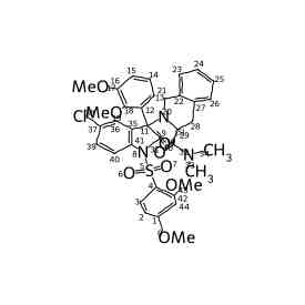 COc1ccc(S(=O)(=O)N2C(=O)C(c3cccc(OC)c3OC)(N3Cc4ccccc4C[C@H]3C(=O)N(C)C)c3cc(Cl)ccc32)c(OC)c1